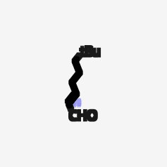 CC(C)(C)CCC/C=C/C=O